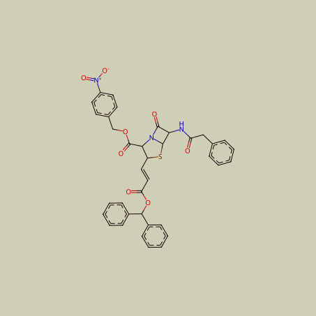 O=C(Cc1ccccc1)NC1C(=O)N2C1SC(C=CC(=O)OC(c1ccccc1)c1ccccc1)C2C(=O)OCc1ccc([N+](=O)[O-])cc1